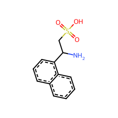 NC(CS(=O)(=O)O)c1cccc2ccccc12